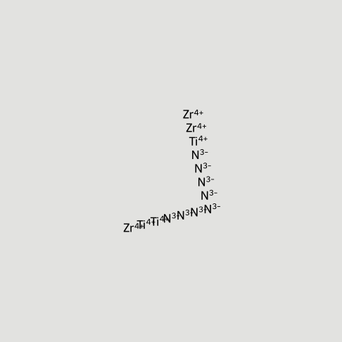 [N-3].[N-3].[N-3].[N-3].[N-3].[N-3].[N-3].[N-3].[Ti+4].[Ti+4].[Ti+4].[Zr+4].[Zr+4].[Zr+4]